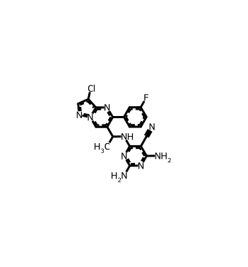 CC(Nc1nc(N)nc(N)c1C#N)c1cn2ncc(Cl)c2nc1-c1cccc(F)c1